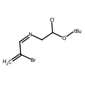 C=C(Br)/C=N\CC(Cl)OC(C)(C)C